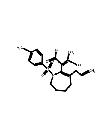 C=CCC1=C(C(C(=O)CC)=C(C)O)N(S(=O)(=O)c2ccc(C)cc2)CCCC1